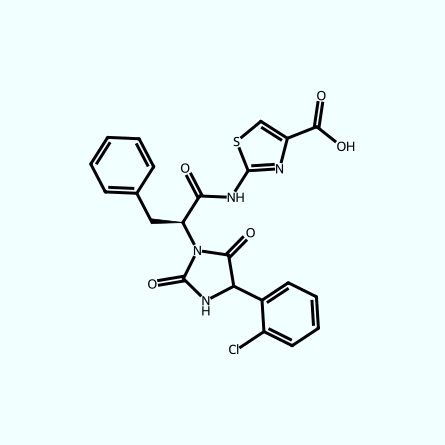 O=C(O)c1csc(NC(=O)[C@H](Cc2ccccc2)N2C(=O)NC(c3ccccc3Cl)C2=O)n1